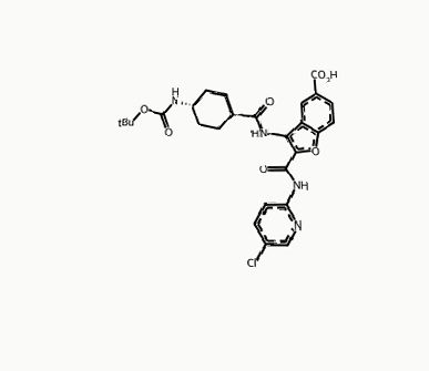 CC(C)(C)OC(=O)N[C@H]1CC[C@H](C(=O)Nc2c(C(=O)Nc3ccc(Cl)cn3)oc3ccc(C(=O)O)cc23)CC1